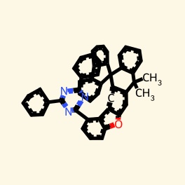 CC1(C)c2ccccc2C2(c3ccccc3-c3ccccc32)c2cc3c(cc21)oc1cccc(-c2nc(-c4ccccc4)nc(-c4ccccc4)n2)c13